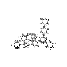 c1ccc(-c2ccc(-c3cc(-c4ccc5c(c4)C4(c6ccccc6Oc6ccccc64)c4cc(-c6ccccn6)ccc4-5)nc(-c4ccccc4)n3)cc2)cc1